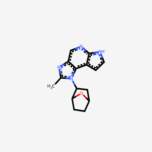 Cc1nc2cnc3[nH]ccc3c2n1C1CC2CCC1O2